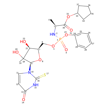 C[C@H](N[P@](=O)(OC[C@H]1O[C@@H](n2ccc(=O)[nH]c2=S)C(C)(O)[C@H]1O)Oc1ccccc1)C(=O)OC1CCCC1